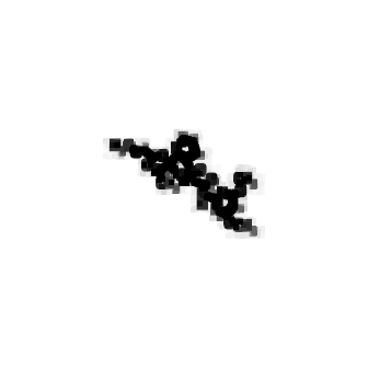 COCC(=O)OC(I)(c1ncccc1S(=O)(=O)NC(=O)Nc1nc(OC)cc(OC)n1)C(C)F